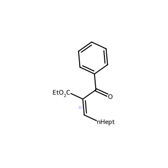 CCCCCCC/C=C(/C(=O)OCC)C(=O)c1ccccc1